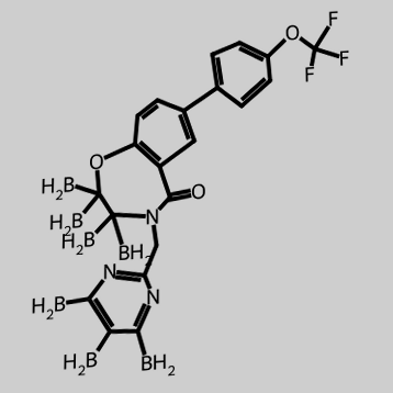 Bc1nc(CN2C(=O)c3cc(-c4ccc(OC(F)(F)F)cc4)ccc3OC(B)(B)C2(B)B)nc(B)c1B